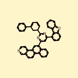 C1=CC(c2nc(-c3cc4c5ccncc5ccc4c4ccccc34)cc(-c3cccc4oc5ccccc5c34)n2)CC(c2ccccc2)=C1